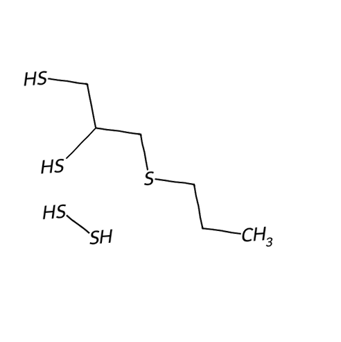 CCCSCC(S)CS.SS